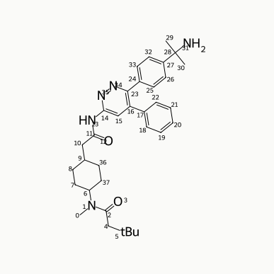 CN(C(=O)CC(C)(C)C)C1CCC(CC(=O)Nc2cc(-c3ccccc3)c(-c3ccc(C(C)(C)N)cc3)nn2)CC1